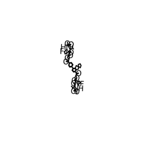 COC(=O)N[C@H](C(=O)N1C[C@H](F)C[C@H]1C(=O)OCC(=O)c1ccc(-c2ccc(C(=O)COC(=O)[C@@H]3C[C@@H](F)CN3C(=O)[C@@H](NC(=O)OC)C(C)C)c3c2CC2(CCCC2)C3)cc1)C(C)C